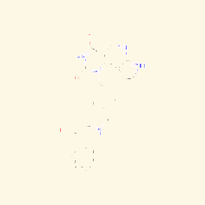 O=c1[nH]c(=O)n(C2CCC(CN(CCO)Cc3ccccc3)CC2)c2c1cnc1[nH]ccc12